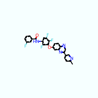 Cc1ccc(-c2cnc3ccc(Oc4c(F)c(F)cc(NC(=O)c5cccc(F)c5)c4F)cc3n2)cn1